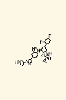 O=S(=O)(Nc1cc(-c2ccc(F)cc2F)cc(-n2cnc3cc(-c4cnn(C5CCNC5)c4)ccc32)n1)C1CC1